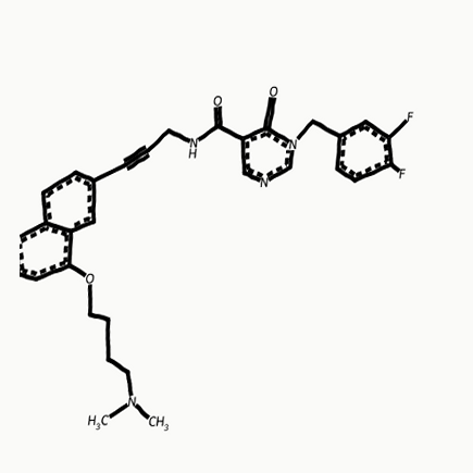 CN(C)CCCCOc1ccnc2ccc(C#CCNC(=O)c3cncn(Cc4ccc(F)c(F)c4)c3=O)cc12